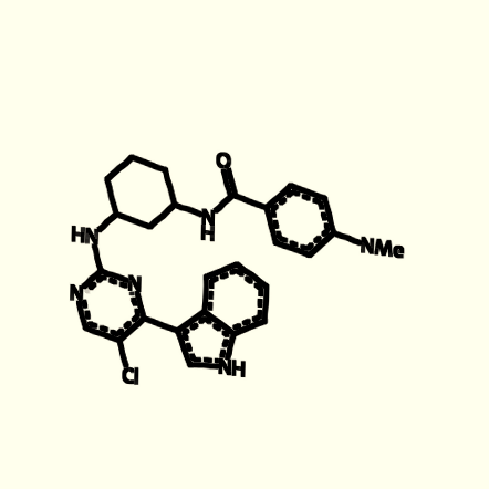 CNc1ccc(C(=O)NC2CCCC(Nc3ncc(Cl)c(-c4c[nH]c5ccccc45)n3)C2)cc1